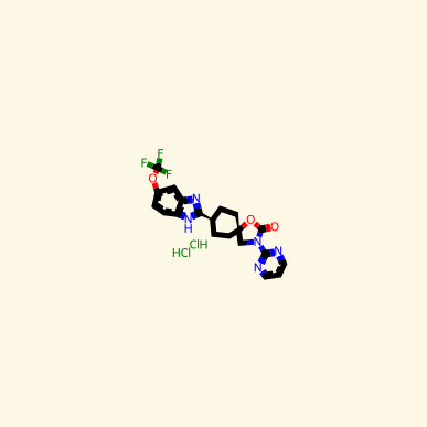 Cl.Cl.O=C1O[C@]2(CC[C@H](c3nc4cc(OC(F)(F)F)ccc4[nH]3)CC2)CN1c1ncccn1